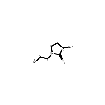 O=C1N(Cl)CCN1CCO